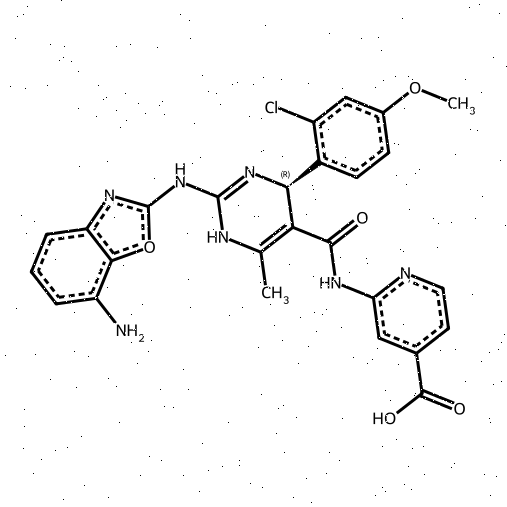 COc1ccc([C@@H]2N=C(Nc3nc4cccc(N)c4o3)NC(C)=C2C(=O)Nc2cc(C(=O)O)ccn2)c(Cl)c1